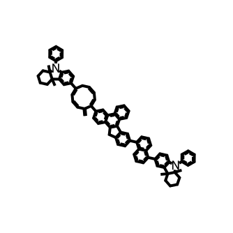 C=C1/C=C\C=C(\c2ccc3c(c2)C2(C)CCCCC2(C)N3c2ccccc2)C/C=C\C=C/1c1ccc2c3c(c4ccccc4c2c1)-c1cc(-c2cccc4c(-c5ccc6c(c5)C5(C)CCCCC5(C)N6c5ccccc5)cccc24)ccc1C3